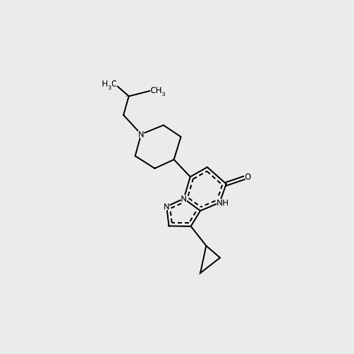 C[C](C)CN1CCC(c2cc(=O)[nH]c3c(C4CC4)cnn23)CC1